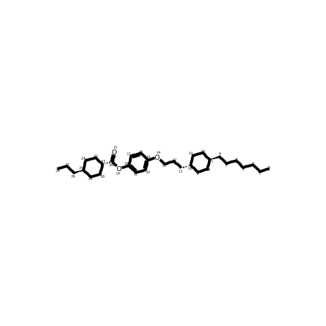 CCCCCCC[C@H]1CC[C@H](CCCOc2ccc(OC(=O)[C@H]3CC[C@H](CCC)CC3)cc2)CC1